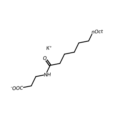 CCCCCCCCCCCCCC(=O)NCCC(=O)[O-].[K+]